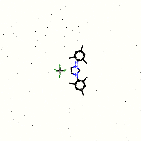 Cc1cc(C)c(N2CC[NH+](c3c(C)cc(C)cc3C)C2)c(C)c1.F[B-](F)(F)F